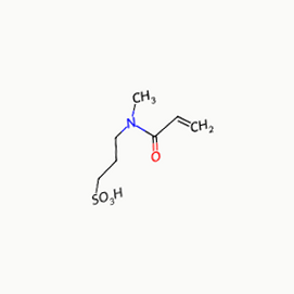 C=CC(=O)N(C)CCCS(=O)(=O)O